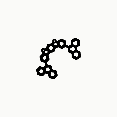 C1=CC2=CC(c3ccc4oc5cc6oc7ccc(-c8cc9ccccc9c9ccccc89)cc7c6cc5c4c3)=C3C=CC=CC3C2C=C1